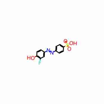 O=S(=O)(O)c1ccc(N=Nc2ccc(O)c(F)c2)cc1